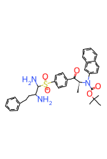 C[C@@H](C(=O)c1ccc(S(=O)(=O)C(N)C(N)CCc2ccccc2)cc1)N(C(=O)OC(C)(C)C)c1ccc2ccccc2c1